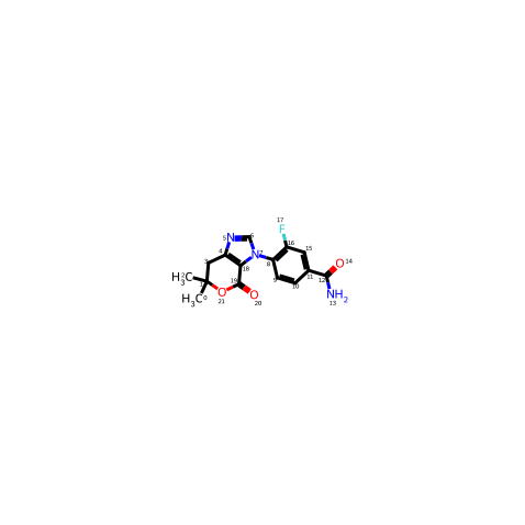 CC1(C)Cc2ncn(-c3ccc(C(N)=O)cc3F)c2C(=O)O1